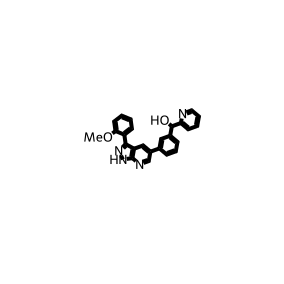 COc1ccccc1-c1n[nH]c2ncc(-c3cccc(C(O)c4ccccn4)c3)cc12